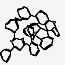 C1=CC2[C@@H](C=C1)c1ccccc1C21c2ccccc2Oc2ccc(-c3cccc(-c4cccc(-c5nc(-c6ccccc6)cc(-c6ccccc6-c6ccccc6)n5)c4)c3)cc21